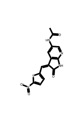 CC(=O)Nc1cnc2c(c1)C(=Cc1ccc([N+](=O)[O-])s1)C(=O)N2